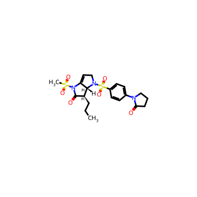 CCC[C@H]1C(=O)N(S(C)(=O)=O)C2=CCN(S(=O)(=O)c3ccc(N4CCCC4=O)cc3)[C@@H]21